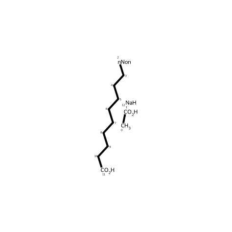 CC(=O)O.CCCCCCCCCCCCCCCCCC(=O)O.[NaH]